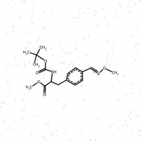 CO/N=C/c1ccc(CC(NC(=O)OC(C)(C)C)C(=O)OC)cc1